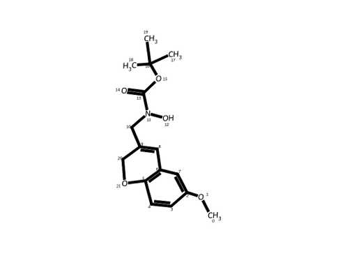 COc1ccc2c(c1)C=C(CN(O)C(=O)OC(C)(C)C)CO2